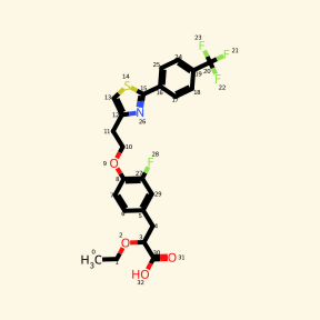 CCOC(Cc1ccc(OCCc2csc(-c3ccc(C(F)(F)F)cc3)n2)c(F)c1)C(=O)O